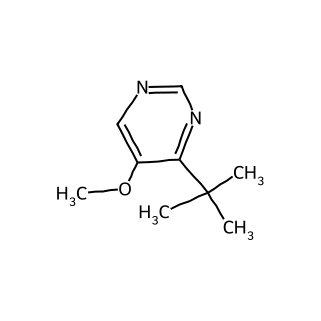 COc1cncnc1C(C)(C)C